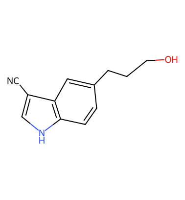 N#Cc1c[nH]c2ccc(CCCO)cc12